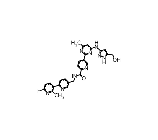 Cc1cc(Nc2cc(CO)[nH]n2)nc(-c2ccc(C(=O)NCc3ccc(-c4ccc(F)nc4C)nc3)nc2)n1